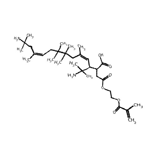 C=C(C)C(=O)OCCOC(=O)CC(C(=O)O)C(C=C(C)CC(C)(C)C(C)(C)CC=C(C)CC(C)(C)N)C(C)(C)N